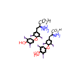 NC(Cc1cc(I)c(Oc2cc(I)c(O)c(I)c2)c(I)c1)C(=O)O.N[C@@H](Cc1cc(I)c(Oc2cc(I)c(O)c(I)c2)c(I)c1)C(=O)O